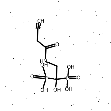 C#CCC(=O)NCC(O)(P(=O)(O)O)P(=O)(O)O